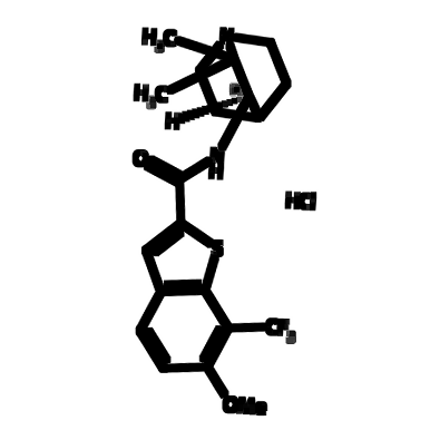 COc1ccc2cc(C(=O)N[C@@H]3C4CCN(CC4)C3(C)C)sc2c1C(F)(F)F.Cl